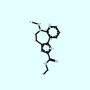 CCOC(=O)c1cc2c(s1)-c1cccnc1N(SI)CC2